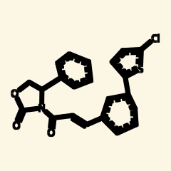 O=C(/C=C/c1cccc(-c2ccc(Cl)s2)c1)N1C(=O)OCC1c1ccccc1